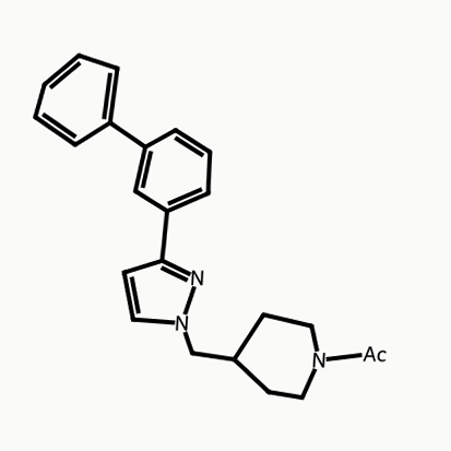 CC(=O)N1CCC(Cn2ccc(-c3cccc(-c4ccccc4)c3)n2)CC1